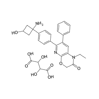 CCN1C(=O)COc2nc(-c3ccc(C4(N)CC(O)C4)cc3)c(-c3ccccc3)cc21.O=C(O)C(O)C(O)C(=O)O